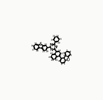 C1=CC2Oc3ccccc3C2C(c2ccc(-c3nc(-c4ccccc4)nc(-c4ccc5c(c4)sc4ccccc45)n3)c3ccccc23)=C1